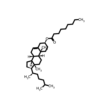 CCCCCCCCC(=O)O[C@H]1CC[C@@]2(C)C(=CC[C@H]3[C@H]4CC[C@H]([C@H](C)CCCC(C)C)[C@@]4(C)CC[C@H]32)C1